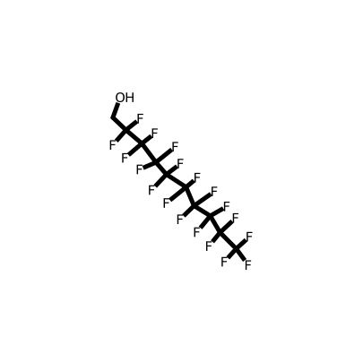 OCC(F)(F)C(F)(F)C(F)(F)C(F)(F)C(F)(F)C(F)(F)C(F)(F)C(F)(F)C(F)(F)F